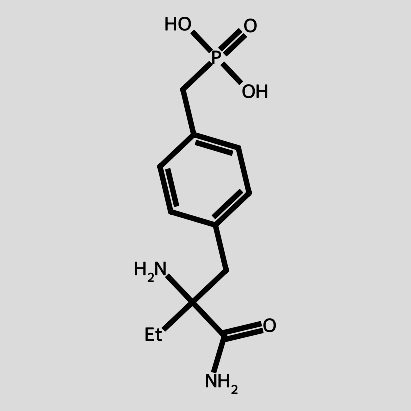 CCC(N)(Cc1ccc(CP(=O)(O)O)cc1)C(N)=O